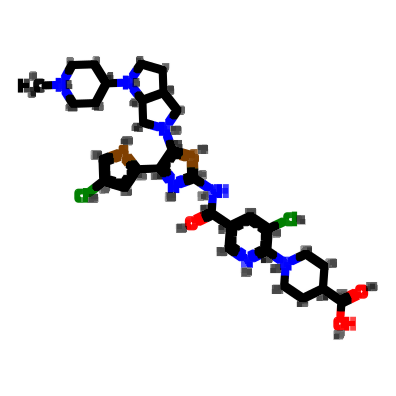 CN1CCC(N2CCC3CN(c4sc(NC(=O)c5cnc(N6CCC(C(=O)O)CC6)c(Cl)c5)nc4-c4cc(Cl)cs4)CC32)CC1